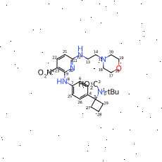 CC(C)(C)N(C(=O)O)C1(c2ccc(Nc3nc(NCCN4CCOCC4)ccc3[N+](=O)[O-])cc2)CCC1